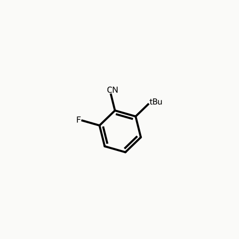 CC(C)(C)c1cccc(F)c1C#N